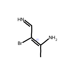 C/C(N)=C(\Br)C=N